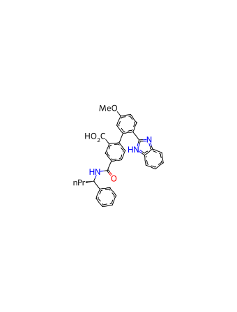 CCC[C@@H](NC(=O)c1ccc(-c2cc(OC)ccc2-c2nc3ccccc3[nH]2)c(C(=O)O)c1)c1ccccc1